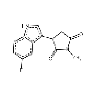 CN1C(=O)CC(c2c[nH]c3ccc(F)cc23)C1=O